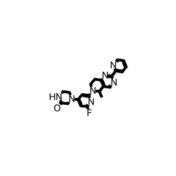 CC1c2cnc(-c3ccccn3)nc2CCN1c1cc(N2CCNC(=O)C2)cc(F)n1